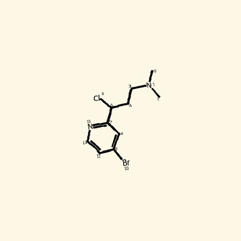 CN(C)CCC(Cl)c1cc(Br)ccn1